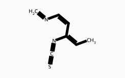 C=N/C=C\C(=C/C)N=C=S